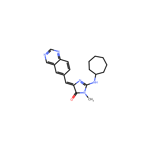 CN1C(=O)/C(=C/c2ccc3ncncc3c2)N=C1NC1CCCCCC1